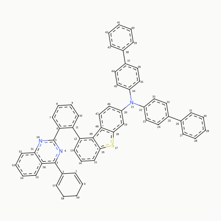 C1=CC(c2nc(-c3ccccc3-c3cccc4sc5cc(N(c6ccc(-c7ccccc7)cc6)c6ccc(-c7ccccc7)cc6)ccc5c34)nc3ccccc23)=CCC1